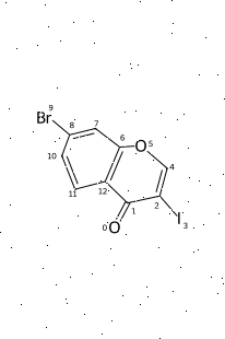 O=c1c(I)coc2cc(Br)ccc12